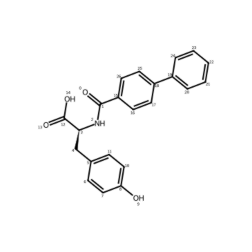 O=C(N[C@@H](Cc1ccc(O)cc1)C(=O)O)c1ccc(-c2ccccc2)cc1